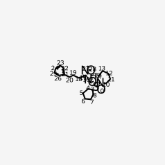 O=S(=O)(C1CCCCC1)N1CCCC[C@H]1c1nc(CCCc2ccccc2)no1